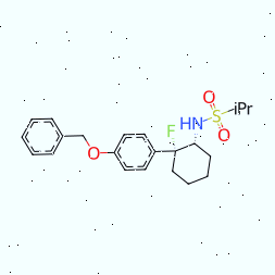 CC(C)S(=O)(=O)N[C@@H]1CCCC[C@@]1(F)c1ccc(OCc2ccccc2)cc1